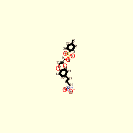 Cc1ccc(S(=O)(=O)OC[C@H]2COc3ccc(C=CC[N+](=O)[O-])cc3O2)cc1